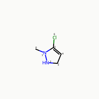 CN1N[CH]C=C1Cl